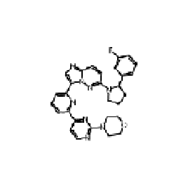 Fc1cccc(C2CCCN2c2ccc3ncc(-c4cccc(-c5ccnc(N6CCOCC6)n5)n4)n3n2)c1